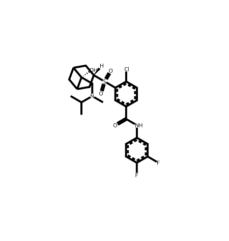 CC(C)N(C)C[C@]1(O)C2CC1C[C@@H](S(=O)(=O)c1cc(C(=O)Nc3ccc(F)c(F)c3)ccc1Cl)C2